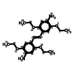 CCOc1cc(N=Nc2cc(OCC)c(N)cc2OCC)c(OCC)cc1N